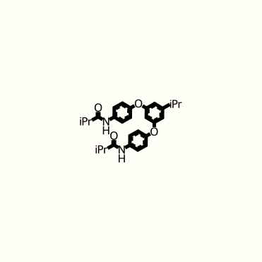 CC(C)C(=O)Nc1ccc(Oc2cc(Oc3ccc(NC(=O)C(C)C)cc3)cc(C(C)C)c2)cc1